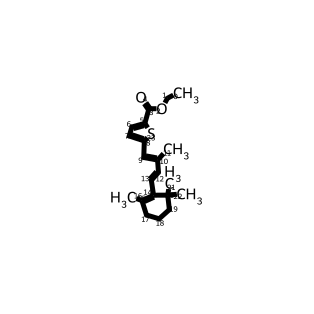 CCOC(=O)c1ccc(C=C(C)C=CC2=C(C)CCCC2(C)C)s1